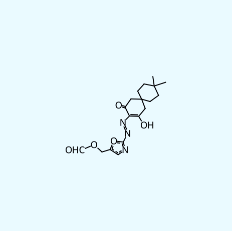 CC1(C)CCC2(CC1)CC(=O)C(N=Nc1ncc(COC=O)o1)=C(O)C2